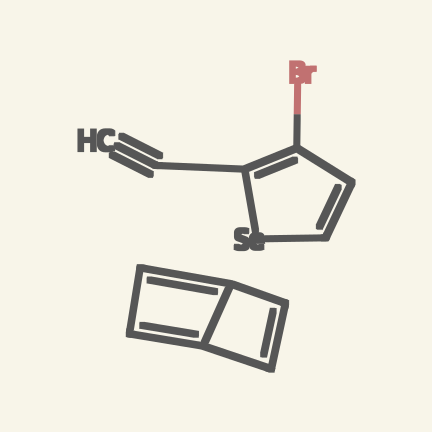 C#Cc1[se]ccc1Br.c1cc2ccc1-2